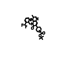 Cc1cnc2cc(C3CCN(C(=O)OC(C)(C)C)CC3)c(=O)n(Cc3ncccc3C(F)F)c2n1